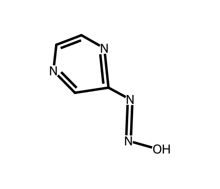 ON=Nc1cnccn1